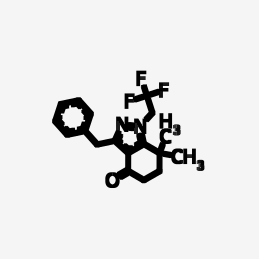 CC1(C)CCC(=O)c2c(Cc3ccccc3)nn(CC(F)(F)F)c21